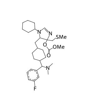 COC(=O)OC1(CSC)N=CN(C2CCCCC2)C1CC1CCC(C(c2cccc(F)c2)N(C)C)CC1